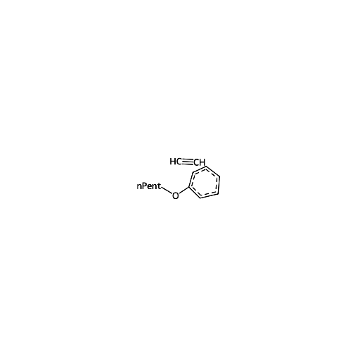 C#C.CCCCCOc1ccccc1